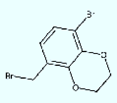 BrCc1ccc(Br)c2c1OCCO2